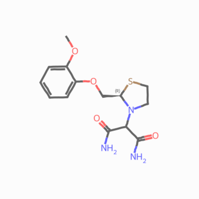 COc1ccccc1OC[C@H]1SCCN1C(C(N)=O)C(N)=O